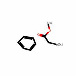 CCCCCCCCCC(=O)OCCCC.c1ccccc1